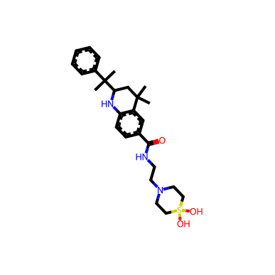 CC1(C)CC(C(C)(C)c2ccccc2)Nc2ccc(C(=O)NCCN3CCS(O)(O)CC3)cc21